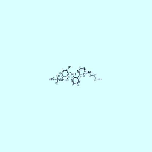 CCCS(=O)(=O)Nc1ncc(F)c(Nc2nccnc2-c2cc(NCCCF)ncn2)c1F